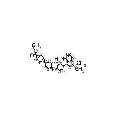 CCOC(=O)N1CCN(c2ccc(Oc3ccc(-c4cn(C(C)C)c5ncnc(N)c45)cc3)cc2)CC1